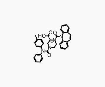 Cc1ccc(N(C(=O)N2CCN(C(=O)N3c4ccccc4C=Cc4ccccc43)[C@H](C(=O)O)C2)c2ccccc2)cc1